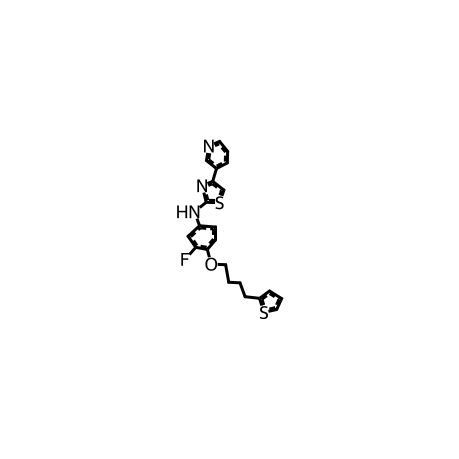 Fc1cc(Nc2nc(-c3cccnc3)cs2)ccc1OCCCCc1cccs1